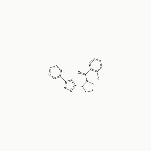 O=C(c1ccccc1Cl)N1CCCC1c1nnc(-c2ccccc2)o1